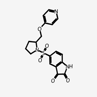 O=C1Nc2ccc(S(=O)(=O)N3CCCC3COc3ccncc3)cc2C1=O